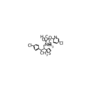 CC(c1ccc(Cl)cc1)C(CNC(=O)C(C)(C)Oc1ccc(Cl)cn1)c1ccsc1